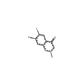 O=c1c[n+]([O-])oc2cc(F)c(F)cc12